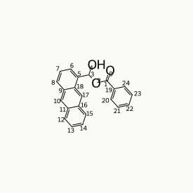 O=C(OC(O)c1cccc2cc3ccccc3cc12)c1ccccc1